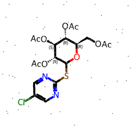 CC(=O)OC[C@H]1OC(Sc2ncc(Cl)cn2)[C@H](OC(C)=O)[C@@H](OC(C)=O)[C@@H]1OC(C)=O